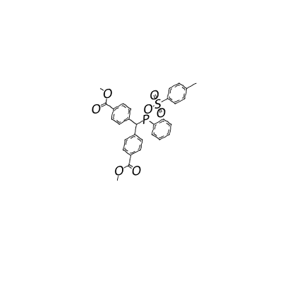 COC(=O)c1ccc(C(c2ccc(C(=O)OC)cc2)P(OS(=O)(=O)c2ccc(C)cc2)c2ccccc2)cc1